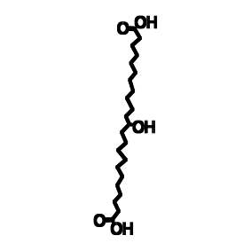 O=C(O)CCCCCCCCCCC(O)CCCCCCCCCCC(=O)O